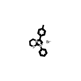 Cc1ccc(-c2c[n+](-c3ccccc3)c3n2CCCS3)cc1.[Br-]